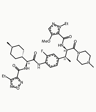 CCc1nonc1C(=O)N[C@H](C(=O)Nc1ccc([C@H](C)[C@@H](NC(=O)c2c(OC)cnn2CC)C(=O)N2CCN(C)CC2)cc1F)[C@H]1CC[C@H](C)CC1